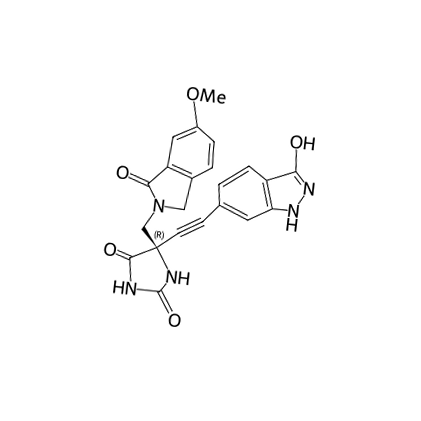 COc1ccc2c(c1)C(=O)N(C[C@@]1(C#Cc3ccc4c(O)n[nH]c4c3)NC(=O)NC1=O)C2